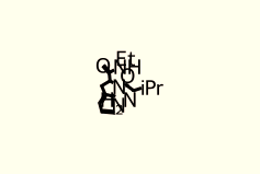 CCNC(=O)C1Cc2cccnc2N1C(=O)C(N)C(C)C